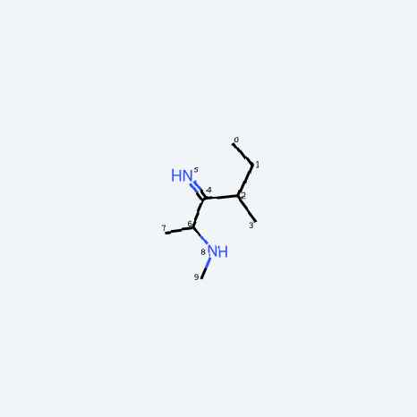 CCC(C)C(=N)C(C)NC